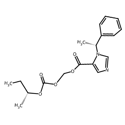 CC[C@@H](C)OC(=O)OCOC(=O)c1cncn1[C@H](C)c1ccccc1